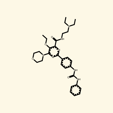 CCOc1c(C(=O)NCCN(CC)CC)nc(-c2ccc(NC(=O)Nc3ccccc3)cc2)nc1N1CCOCC1